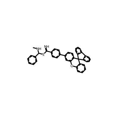 CNC(SC(=N)c1ccc(-c2ccc3c(c2)Oc2ccccc2C32c3ccccc3-c3ccccc32)cc1)c1ccccc1